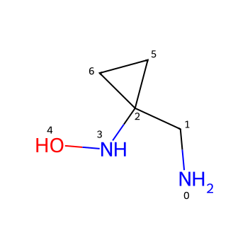 NCC1(NO)CC1